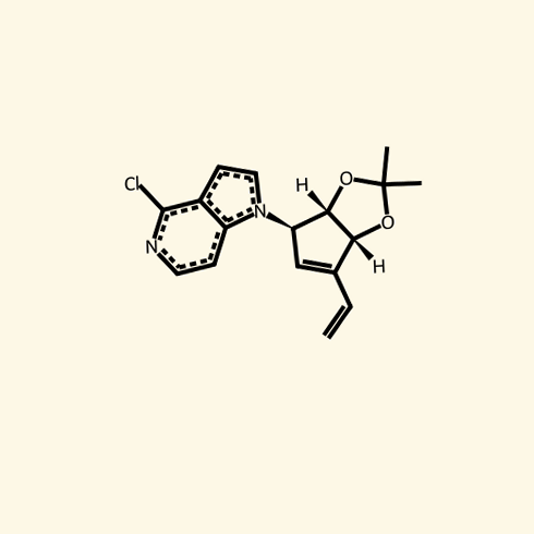 C=CC1=C[C@@H](n2ccc3c(Cl)nccc32)[C@@H]2OC(C)(C)O[C@H]12